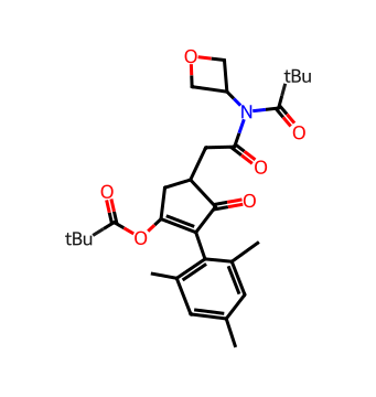 Cc1cc(C)c(C2=C(OC(=O)C(C)(C)C)CC(CC(=O)N(C(=O)C(C)(C)C)C3COC3)C2=O)c(C)c1